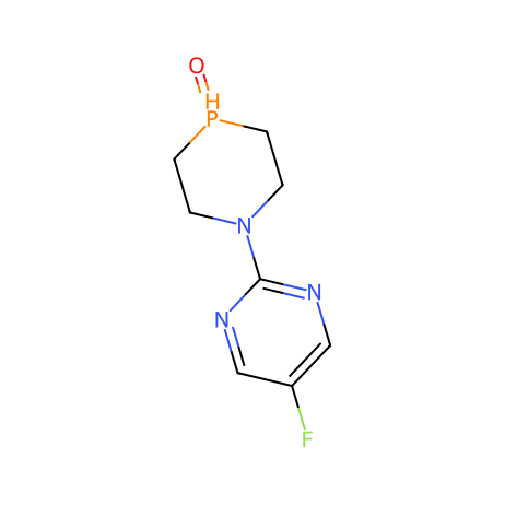 O=[PH]1CCN(c2ncc(F)cn2)CC1